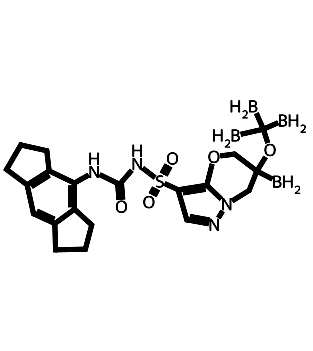 BC(B)(B)OC1(B)COc2c(S(=O)(=O)NC(=O)Nc3c4c(cc5c3CCC5)CCC4)cnn2C1